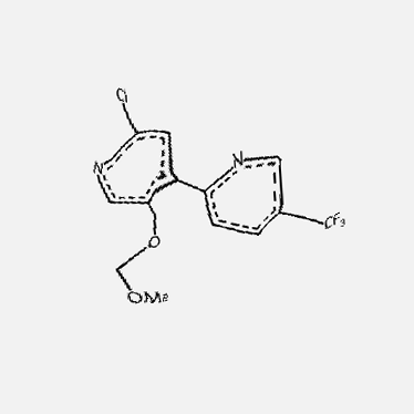 COCOc1cnc(Cl)cc1-c1ccc(C(F)(F)F)cn1